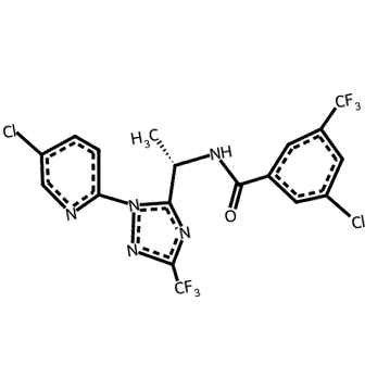 C[C@H](NC(=O)c1cc(Cl)cc(C(F)(F)F)c1)c1nc(C(F)(F)F)nn1-c1ccc(Cl)cn1